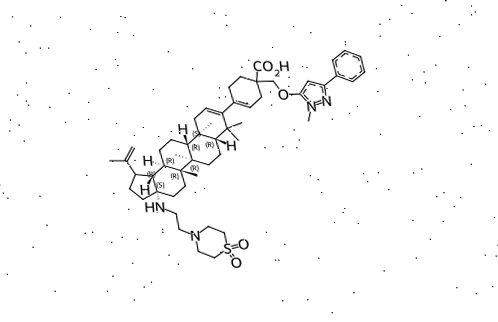 C=C(C)C1CC[C@]2(NCCN3CCS(=O)(=O)CC3)CC[C@]3(C)[C@H](CC[C@@H]4[C@@]5(C)CC=C(C6=CCC(COc7cc(-c8ccccc8)nn7C)(C(=O)O)CC6)C(C)(C)[C@@H]5CC[C@]43C)[C@@H]12